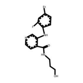 CCc1ccc(Nc2cnccc2C(=O)NCCCO)c(F)c1